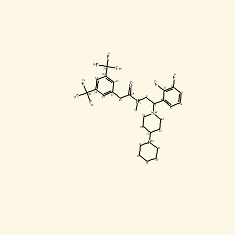 CN(CC(c1cccc(F)c1F)N1CCC(N2CCCCC2)CC1)C(=O)Cc1cc(C(F)(F)F)cc(C(F)(F)F)c1